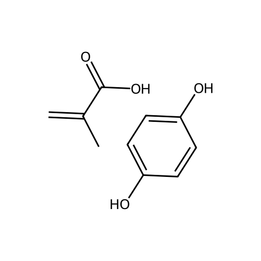 C=C(C)C(=O)O.Oc1ccc(O)cc1